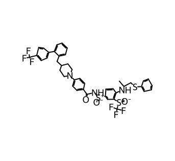 CC(CSc1ccccc1)Nc1ccc([S+]([O-])NC(=O)c2ccc(N3CCC(Cc4ccccc4-c4ccc(C(F)(F)F)cc4)CC3)cc2)cc1[S+]([O-])C(F)(F)F